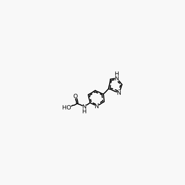 O=C(O)Nc1ccc(-c2c[nH]cn2)cn1